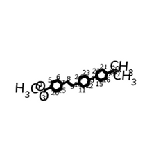 COC(=O)c1ccc(/C=C/c2ccc(-c3ccc(C(C)C)cc3)cc2)cc1